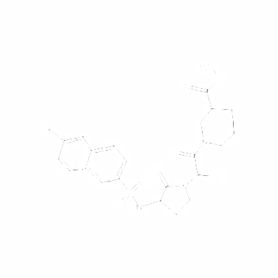 COC(=O)C1CCCN(C(=O)C(C)N2CCC(NS(=O)(=O)c3ccc4cc(Cl)ccc4c3)C2=O)C1